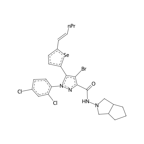 CCCC=Cc1ccc(-c2c(Br)c(C(=O)NN3CC4CCCC4C3)nn2-c2ccc(Cl)cc2Cl)[se]1